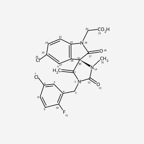 C=C1N(Cc2cc(Cl)ccc2F)C(=O)N(C)[C@@]12C(=O)N(CC(=O)O)c1ccc(Cl)cc12